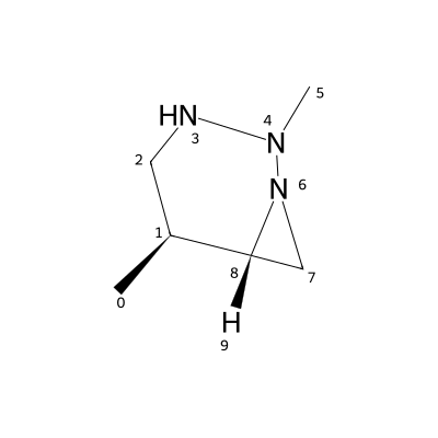 C[C@H]1CNN(C)N2C[C@H]12